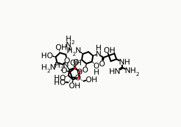 N=C(N)NC1CC(O)(C(=O)N[C@@H]2C[C@H](N)[C@@H](O[C@H]3O[C@H](CO)[C@@H](O)[C@H](O)[C@H]3N)[C@H](O[C@@H]3O[C@H](CO)[C@@H](O[C@H]4O[C@@H](CN)[C@@H](O)[C@H](O)[C@H]4N)[C@H]3O)[C@H]2O)C1